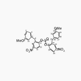 COc1cccc(Cc2cc([N+](=O)[O-])ccc2OC(=O)Oc2ccc([N+](=O)[O-])cc2Cc2cccc(OC)c2)c1